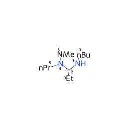 CCCCNC(CC)N(CCC)NC